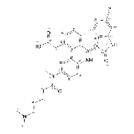 CN(C)CCCCC(=O)N(C)c1ccc(N/C(=C2\C(=O)Nc3cc(Cl)ccc32)c2cccc(CC(=O)O)c2)cc1